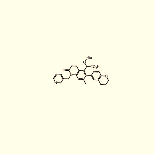 Cc1cc2c(c(C(OC(C)(C)C)C(=O)O)c1-c1ccc3c(c1)CCCO3)CCC(=O)N2Cc1cccnc1